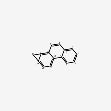 c1ccc2c(c1)ccc1c3c(ccc12)C3